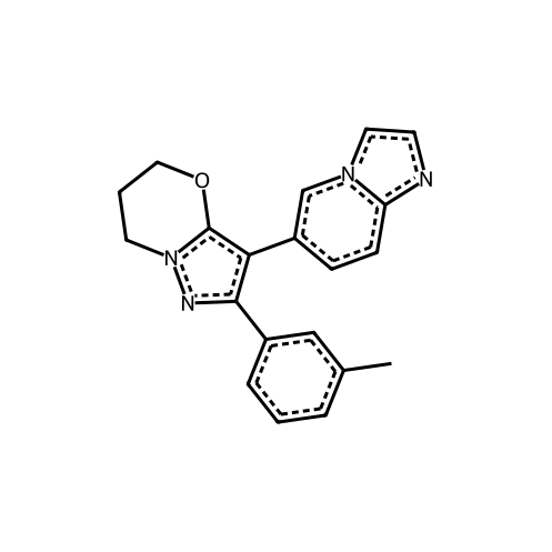 Cc1cccc(-c2nn3c(c2-c2ccc4nccn4c2)OCCC3)c1